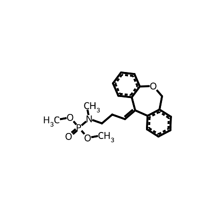 COP(=O)(OC)N(C)CC/C=C1/c2ccccc2COc2ccccc21